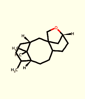 CC1CC[C@@H]2CC34CO[C@H](CCC3CC[C@H]1C2(C)C)C4